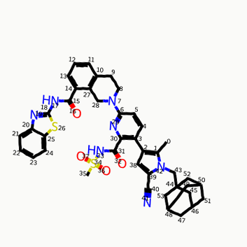 Cc1c(-c2ccc(N3CCc4cccc(C(=O)Nc5nc6ccccc6s5)c4C3)nc2C(=O)NS(C)(=O)=O)cc(C#N)n1CC12CC3CC(CC(C3)C1)C2